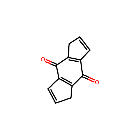 O=C1C2=C(CC=C2)C(=O)C2=C1CC=C2